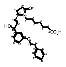 O=C(O)CCCCCCN1C(=O)CC[C@@H]1C=CC(O)c1cccc(OCCc2ccccc2)c1